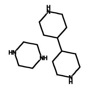 C1CC(C2CCNCC2)CCN1.C1CNCCN1